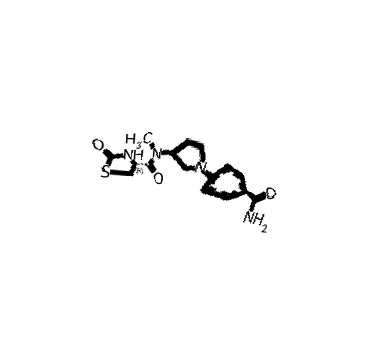 CN(C(=O)[C@@H]1CSC(=O)N1)C1CCN(c2ccc(C(N)=O)cc2)C1